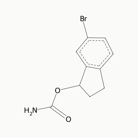 NC(=O)OC1CCc2ccc(Br)cc21